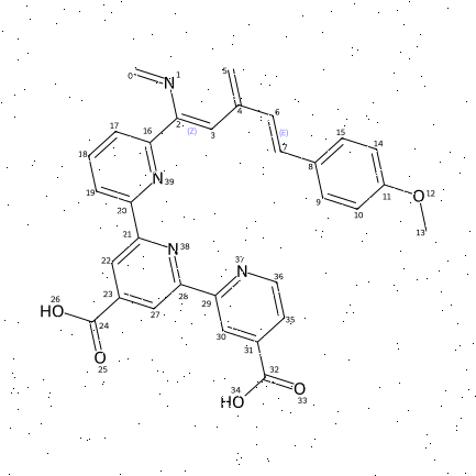 C=N/C(=C\C(=C)/C=C/c1ccc(OC)cc1)c1cccc(-c2cc(C(=O)O)cc(-c3cc(C(=O)O)ccn3)n2)n1